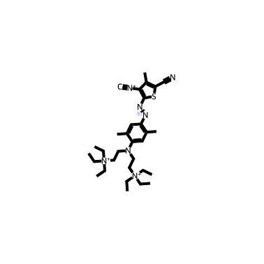 [C-]#[N+]c1c(/N=N/c2cc(C)c(N(CC[N+](CC)(CC)CC)CC[N+](CC)(CC)CC)cc2C)sc(C#N)c1C